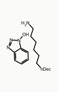 CCCCCCCCCCCCCCCCN.On1nnc2ccccc21